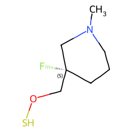 CN1CCC[C@@](F)(COS)C1